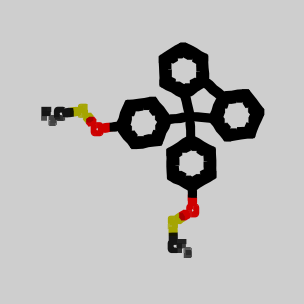 FC(F)(F)SOc1ccc(C2(c3ccc(OSC(F)(F)F)cc3)c3ccccc3-c3ccccc32)cc1